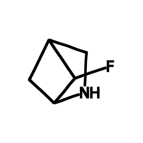 FC1C2CNC1C2